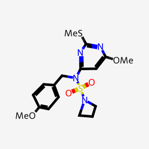 COc1ccc(CN(c2cc(OC)nc(SC)n2)S(=O)(=O)N2CCC2)cc1